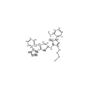 CCCCc1cn(-c2ccccc2CC)c(=O)n1Cc1ccc(-c2ccccc2-c2nnn[nH]2)cn1